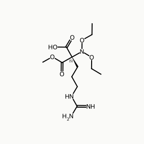 CCON(OCC)[C@@](CCCNC(=N)N)(C(=O)O)C(=O)OC